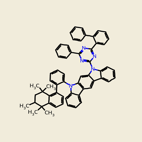 CC1CC(C)(C)c2c(-c3ccccc3-n3c4ccccc4c4cc5c6ccccc6n(-c6nc(-c7ccccc7)nc(-c7ccccc7-c7ccccc7)n6)c5cc43)cccc2C1(C)C